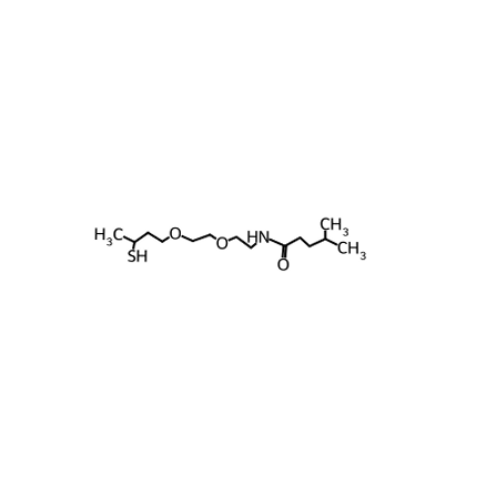 CC(C)CCC(=O)NCCOCCOCCC(C)S